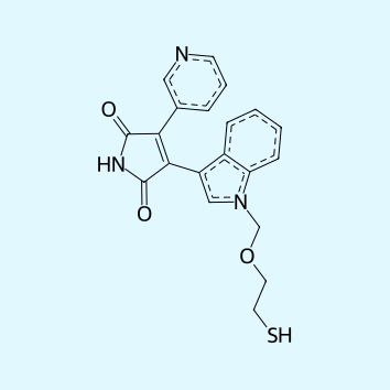 O=C1NC(=O)C(c2cn(COCCS)c3ccccc23)=C1c1cccnc1